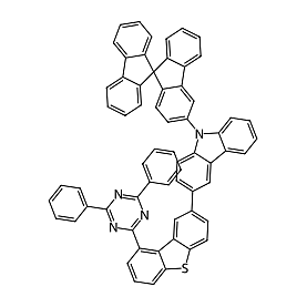 c1ccc(-c2nc(-c3ccccc3)nc(-c3cccc4sc5ccc(-c6ccc7c(c6)c6ccccc6n7-c6ccc7c(c6)-c6ccccc6C76c7ccccc7-c7ccccc76)cc5c34)n2)cc1